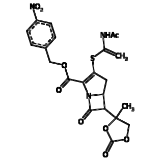 C=C(NC(C)=O)SC1=C(C(=O)OCc2ccc([N+](=O)[O-])cc2)N2C(=O)C(C3(C)COC(=O)O3)C2C1